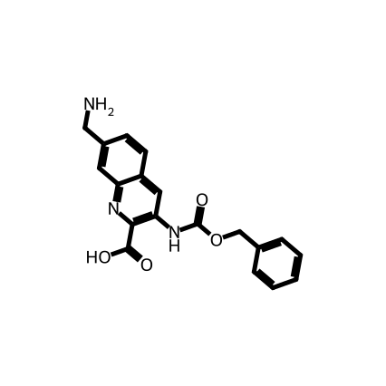 NCc1ccc2cc(NC(=O)OCc3ccccc3)c(C(=O)O)nc2c1